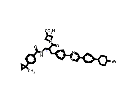 CCCC1CCC(c2ccc(-c3cnc(-c4ccc(C/C(=C\NC(=O)c5ccc(C6(C)CC6)cc5)C(=O)N5CC(C(=O)O)C5)cc4)nc3)cc2)CC1